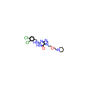 O=c1[nH]c(NCc2ccc(Cl)c(Cl)c2)nc2ncn(CCOCCN3CCCCC3)c12